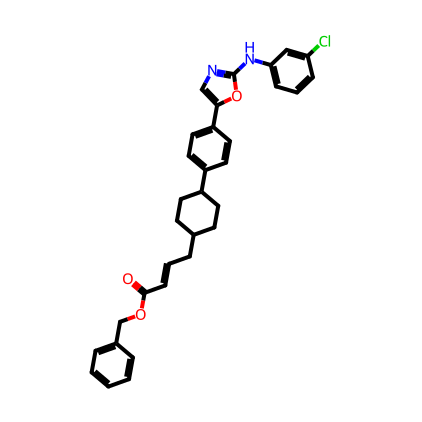 O=C(/C=C/CC1CCC(c2ccc(-c3cnc(Nc4cccc(Cl)c4)o3)cc2)CC1)OCc1ccccc1